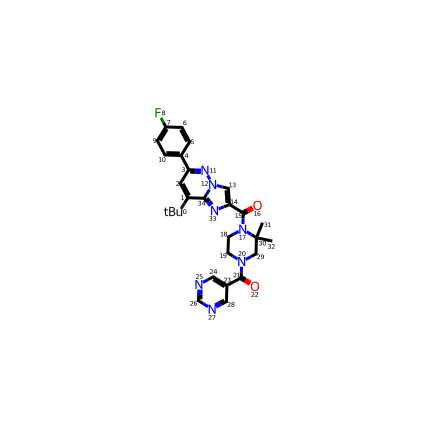 CC(C)(C)c1cc(-c2ccc(F)cc2)nn2cc(C(=O)N3CCN(C(=O)c4cncnc4)CC3(C)C)nc12